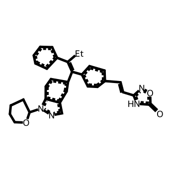 CC/C(=C(\c1ccc(C=Cc2noc(=O)[nH]2)cc1)c1ccc2c(cnn2C2CCCCO2)c1)c1ccccc1